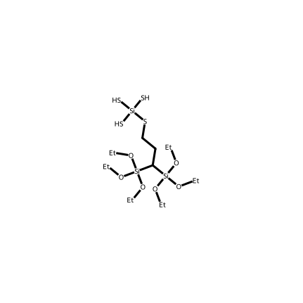 CCO[Si](OCC)(OCC)C(CCS[Si](S)(S)S)[Si](OCC)(OCC)OCC